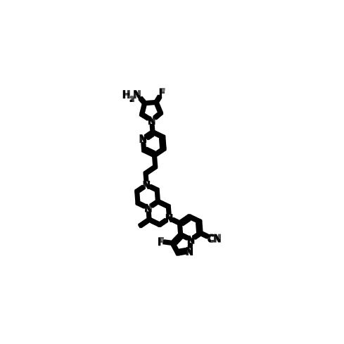 CC1CN(c2ccc(C#N)n3ncc(F)c23)CC2CN(CCc3ccc(N4CC(N)C(F)C4)nc3)CCN12